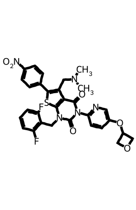 CN(C)Cc1c(-c2ccc([N+](=O)[O-])cc2)sc2c1c(=O)n(-c1ccc(OC3COC3)cn1)c(=O)n2Cc1c(F)cccc1F